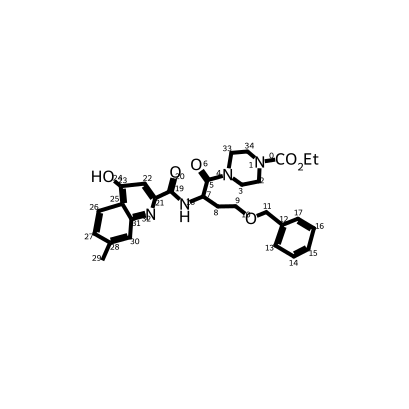 CCOC(=O)N1CCN(C(=O)C(CCOCc2ccccc2)NC(=O)c2cc(O)c3ccc(C)cc3n2)CC1